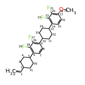 C=CC1CCC(c2ccc(C3CCC(c4ccc(OC)c(F)c4F)CC3)c(F)c2F)CC1